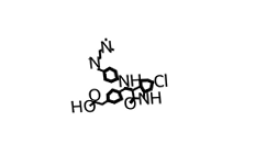 CN(C)CCN(C)Cc1ccc(NC(=C2C(=O)Nc3cc(Cl)ccc32)c2ccc(CC(=O)O)cc2)cc1